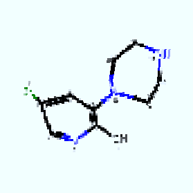 N#Cc1ncc(Br)cc1N1CCNCC1